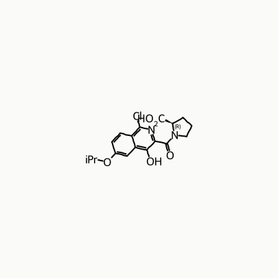 CC(C)Oc1ccc2c(Cl)nc(C(=O)N3CCC[C@@H]3C(=O)O)c(O)c2c1